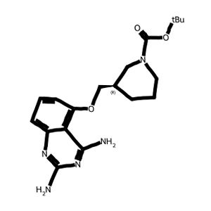 CC(C)(C)OC(=O)N1CCC[C@@H](COc2cccc3nc(N)nc(N)c23)C1